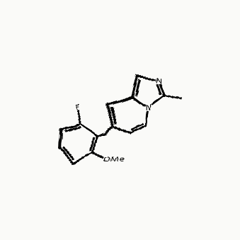 COc1cccc(F)c1-c1ccn2c(C)ncc2c1